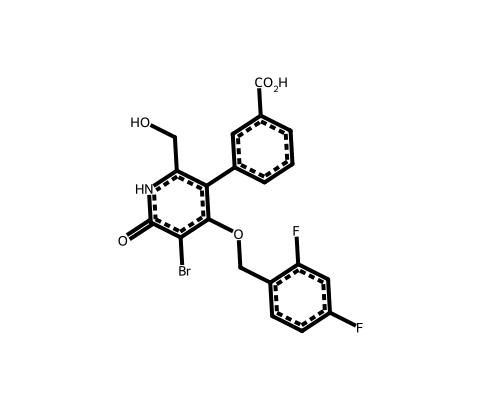 O=C(O)c1cccc(-c2c(CO)[nH]c(=O)c(Br)c2OCc2ccc(F)cc2F)c1